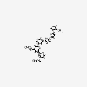 Cc1ccsc1-c1ccc(-c2ccc(-c3ccnc(-c4cc(OC=O)cc(-c5cc(OC=O)ccn5)n4)c3)s2)s1